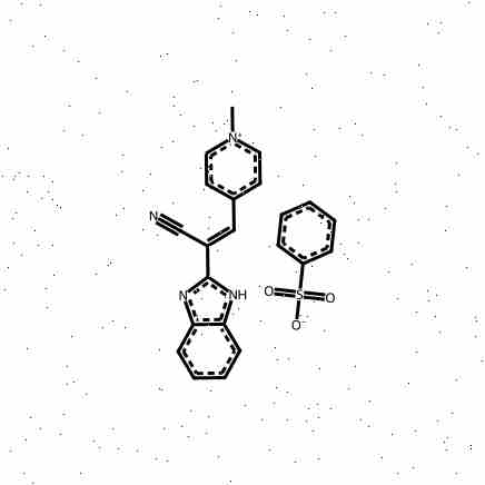 C[n+]1ccc(/C=C(\C#N)c2nc3ccccc3[nH]2)cc1.O=S(=O)([O-])c1ccccc1